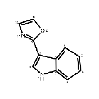 [c]1[nH]c2ccccc2c1-c1ncco1